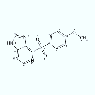 COc1ccc(S(=O)(=O)c2ncnc3[nH]cnc23)cc1